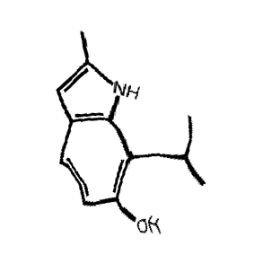 Cc1cc2ccc(O)c(C(C)C)c2[nH]1